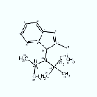 CCC1=Cc2ccccc2C1N([SiH](C)C)C(C)(C)C